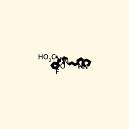 O=C(O)C[C@H](c1cccc(F)c1)N1CCN(CCCc2ccc3c(n2)NCCC3)C1=O